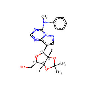 CN(c1ccccc1)c1ncnc2c([C@@H]3O[C@H](CO)[C@H]4OC(C)(C)O[C@H]43)cnn12